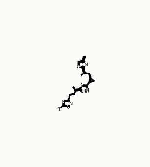 Cc1coc(C(C)CC2CC2c2nnc(C(C)CCc3noc(C(C)C)n3)s2)n1